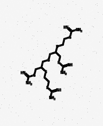 N=C(N)SCCSC(CSCC(CSC(=N)N)SCCSC(=N)N)CSC(=N)N